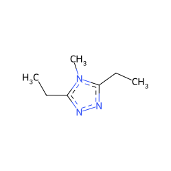 CCc1nnc(CC)n1C